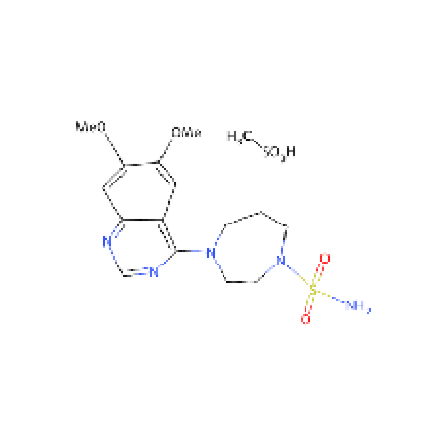 COc1cc2ncnc(N3CCCN(S(N)(=O)=O)CC3)c2cc1OC.CS(=O)(=O)O